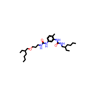 CCCCC(CC)CNC(=O)Nc1cc(NC(=O)NCCCOCC(CC)CCCC)ccc1C